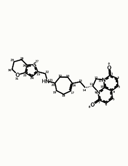 O=c1ccc2ccc(=O)n3c2n1C[C@H]3CCC1=CCCC(NCc2cc3c(s2)CCCO3)CC1